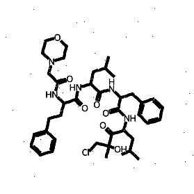 CC(C)CC(NC(=O)C(CCc1ccccc1)NC(=O)CN1CCOCC1)C(=O)NC(Cc1ccccc1)C(=O)NC(CC(C)C)C(=O)C(C)(O)CCl